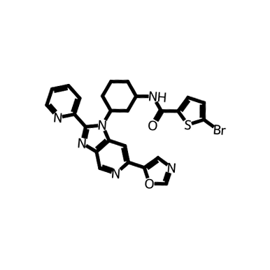 O=C(NC1CCCC(n2c(-c3ccccn3)nc3cnc(-c4cnco4)cc32)C1)c1ccc(Br)s1